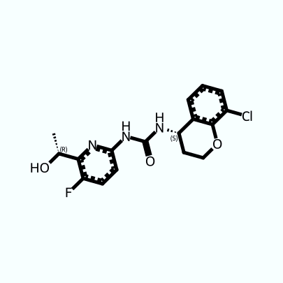 C[C@@H](O)c1nc(NC(=O)N[C@H]2CCOc3c(Cl)cccc32)ccc1F